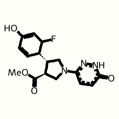 COC(=O)[C@@H]1CN(c2ccc(=O)[nH]n2)C[C@H]1C1C=CC(O)=CC1F